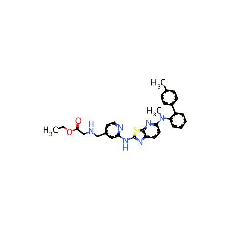 CCOC(=O)CNCc1ccnc(Nc2nc3ccc(N(C)c4ccccc4-c4ccc(C)cc4)nc3s2)c1